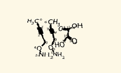 CC#CCON.CC#CCON.O=C(O)C(=O)O